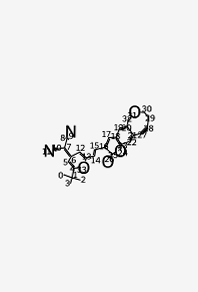 CC(C)(C)C1=CC(=C(C#N)C#N)C=C(/C=C/c2cc3cc4c(cc3oc2=O)C#CCCOC4)O1